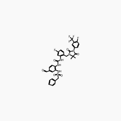 CC1(C)C(=O)N(c2ccc(F)c(C(F)(F)F)c2)C(=O)N1Cc1ccc(F)cc1NC(=O)Nc1ccc(C=O)cc1NS(=O)(=O)Cc1ccccc1